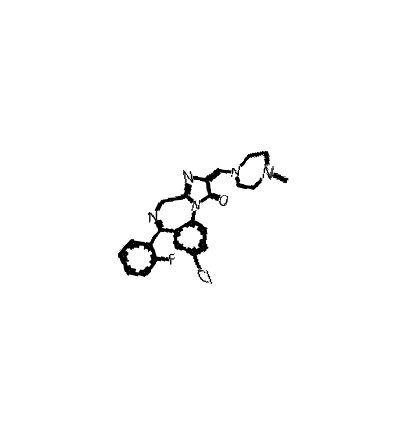 CN1CCN(C=C2N=C3CN=C(c4ccccc4F)c4cc(Cl)ccc4N3C2=O)CC1